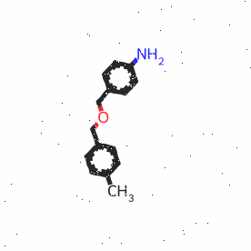 Cc1ccc(COCc2ccc(N)cc2)cc1